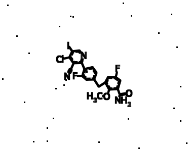 COc1c(Cc2ccc(-c3ncc(I)c(Cl)c3C#N)c(F)c2)cc(F)cc1C(N)=O